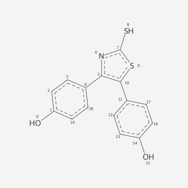 Oc1ccc(-c2nc(S)sc2-c2ccc(O)cc2)cc1